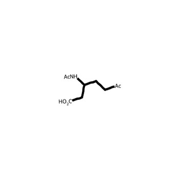 CC(=O)CCC(CC(=O)O)NC(C)=O